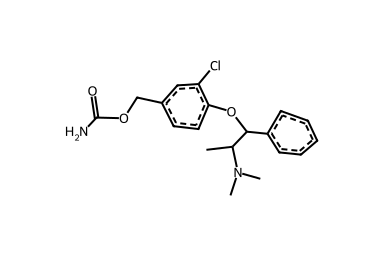 CC(C(Oc1ccc(COC(N)=O)cc1Cl)c1ccccc1)N(C)C